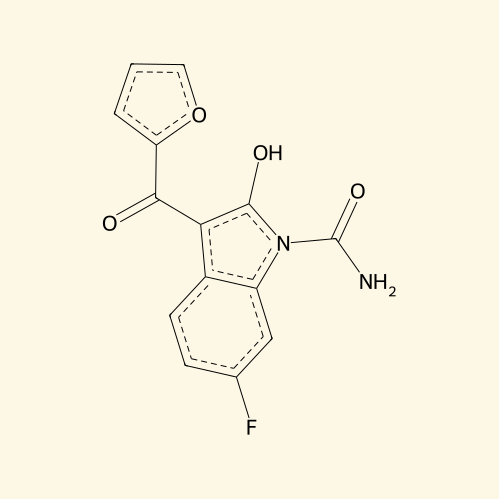 NC(=O)n1c(O)c(C(=O)c2ccco2)c2ccc(F)cc21